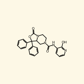 O=C(Nc1cccnc1O)N1CCN2C(=O)OC(c3ccccc3)(c3ccccc3)C2C1